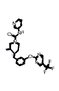 CC1CN(C(=O)Nc2cccnc2)CC/C1=C\c1cccc(Oc2ncc(C(F)(F)F)cn2)c1